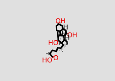 C[C@H](CCC[C@@H](C)[C@H]1CC[C@H]2[C@@H]3[C@H](O)C[C@@H]4C[C@H](O)CC[C@]4(C)[C@H]3C[C@H](O)[C@]12C)C(=O)O